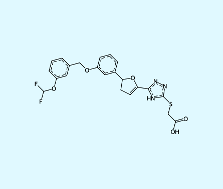 O=C(O)CSc1nnc(C2=CCC(c3cccc(OCc4cccc(OC(F)F)c4)c3)O2)[nH]1